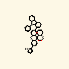 C1=CC2C3=C(C(C4=CC5C(C=C4)SC4C=C(c6ccc[nH]6)C=CC4C54c5ccccc5SC5CC=CCC54)=CCC3)N(c3ccccc3)C2C=C1